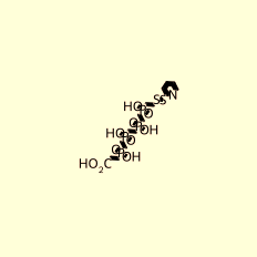 O=C(O)CCP(=O)(O)CCP(=O)(O)CCP(=O)(O)CCP(=O)(O)CCSSc1ccccn1